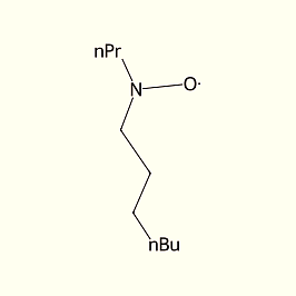 CCCCCCCN([O])CCC